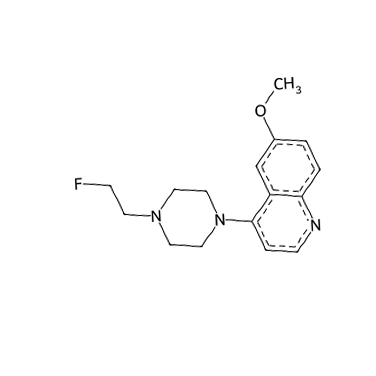 COc1ccc2nccc(N3CCN(CCF)CC3)c2c1